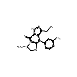 CC(C)Cc1n[nH]c2c(=O)n3c(c(-c4cccc(C(F)(F)F)c4)c12)SC[C@H]3C(=O)O